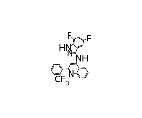 Fc1cc(F)c2[nH]nc(Nc3cc(-c4ccccc4C(F)(F)F)nc4ccccc34)c2c1